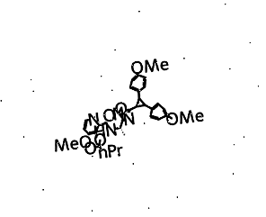 CCCC(=O)Oc1c(OC)ccnc1C(=O)N[C@@H](C)c1noc(C2C(c3ccc(OC)cc3)C2c2ccc(OC)cc2)n1